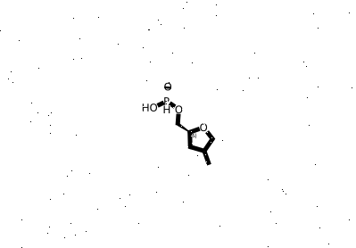 CC1CO[C@H](CO[PH](=O)O)C1